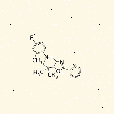 Cc1cc(F)ccc1N1CC2N=C(c3ccccn3)OC2C(C)(C)C1